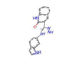 N=N/C(=C\Nc1ccc2cc[nH]c2c1)c1cc2ccccc2[nH]c1=O